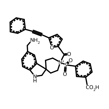 NCc1ccc2c(c1)C1(CC[N+](C(=O)c3ccc(C#Cc4ccccc4)o3)(S(=O)(=O)c3cccc(C(=O)O)c3)CC1)CN2